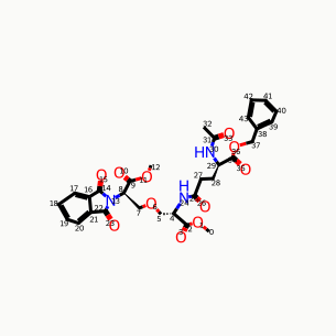 COC(=O)[C@H](COC[C@H](C(=O)OC)N1C(=O)c2ccccc2C1=O)NC(=O)CC[C@@H](NC(C)=O)C(=O)OCc1ccccc1